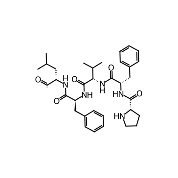 CC(C)C[C@@H]([C]=O)NC(=O)[C@H](Cc1ccccc1)NC(=O)[C@@H](NC(=O)[C@H](Cc1ccccc1)NC(=O)[C@@H]1CCCN1)C(C)C